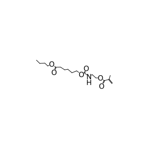 C=C(C)C(=O)OCCNC(=O)OCCCCCC(=O)OCCCC